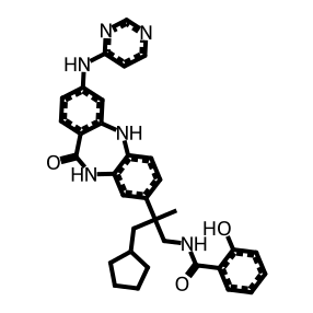 CC(CNC(=O)c1ccccc1O)(CC1CCCC1)c1ccc2c(c1)NC(=O)c1ccc(Nc3ccncn3)cc1N2